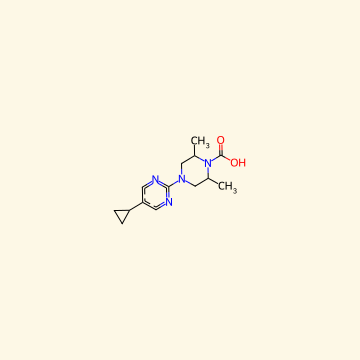 CC1CN(c2ncc(C3CC3)cn2)CC(C)N1C(=O)O